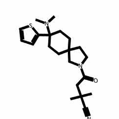 CN(C)C1(c2cccs2)CCC2(CCN(C(=O)CC(C)(C)C#N)C2)CC1